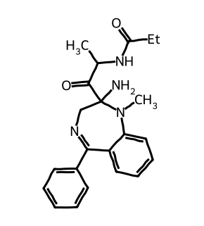 CCC(=O)NC(C)C(=O)C1(N)CN=C(c2ccccc2)c2ccccc2N1C